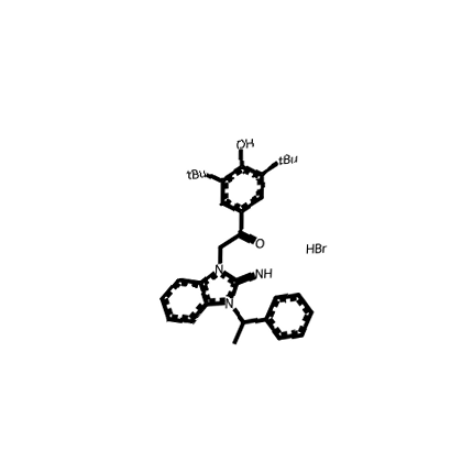 Br.CC(c1ccccc1)n1c(=N)n(CC(=O)c2cc(C(C)(C)C)c(O)c(C(C)(C)C)c2)c2ccccc21